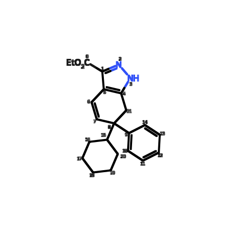 CCOC(=O)c1n[nH]c2c1C=CC(c1ccccc1)(C1CCCCC1)C2